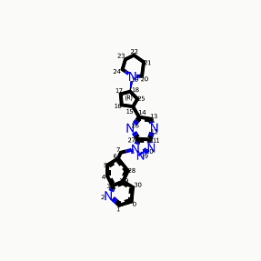 c1cnc2ccc(Cn3nnc4ncc(C5CC[C@@H](N6CCCCC6)C5)nc43)cc2c1